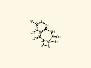 O=C1Nc2ccc(F)c(Cl)c2C(=O)N2CC[C@@H]12